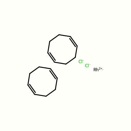 C1=C\CC/C=C\CC/1.C1=C\CC/C=C\CC/1.[Cl-].[Cl-].[Rh+2]